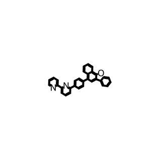 c1ccc(-c2cccc(-c3ccc(-c4cc5c6ccccc6oc5c5ccccc45)cc3)n2)nc1